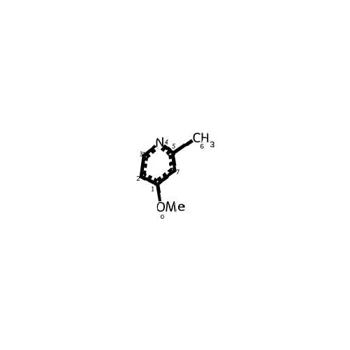 COc1c[c]nc(C)c1